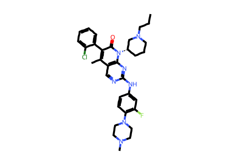 CCCN1CCC[C@H](n2c(=O)c(-c3ccccc3Cl)c(C)c3cnc(Nc4ccc(N5CCN(C)CC5)c(F)c4)nc32)C1